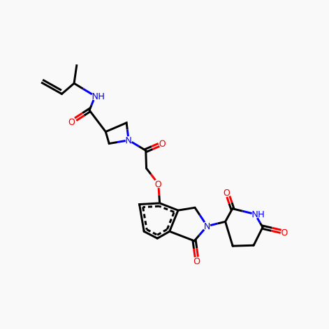 C=CC(C)NC(=O)C1CN(C(=O)COc2cccc3c2CN(C2CCC(=O)NC2=O)C3=O)C1